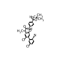 CC(C(=O)Nc1ccc(C(=O)OC(C)(C)C)cc1)n1cc(Cl)c(-c2cc(Cl)ccc2C#N)cc1=O